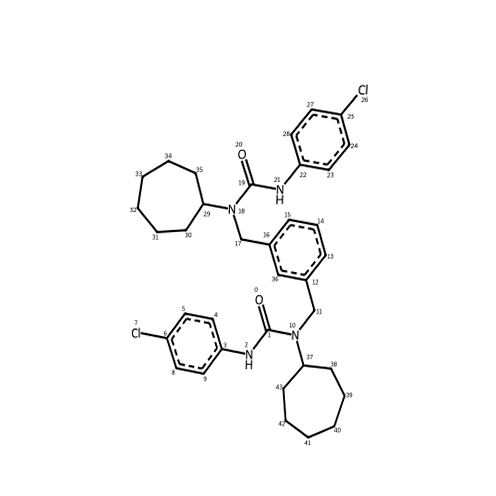 O=C(Nc1ccc(Cl)cc1)N(Cc1cccc(CN(C(=O)Nc2ccc(Cl)cc2)C2CCCCCC2)c1)C1CCCCCC1